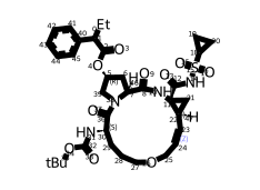 CCC(C(=O)O[C@@H]1C[C@H]2C(=O)N[C@]3(C(=O)NS(=O)(=O)C4CC4)C[C@H]3/C=C\COCCC[C@H](NC(=O)OC(C)(C)C)C(=O)N2C1)c1ccccc1